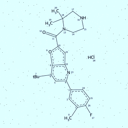 Cc1cc(-c2cc(C(C)(C)C)c3oc(C(=O)N4CCNCC4(C)C)cc3n2)ccc1F.Cl